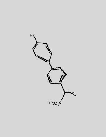 CCOC(=O)C(Cl)c1ccc(-c2ccc(S)cc2)cc1